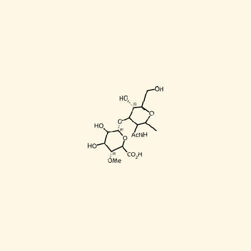 CO[C@H]1C(C(=O)O)O[C@@H](OC2C(NC(C)=O)C(C)OC(CO)[C@H]2O)C(O)C1O